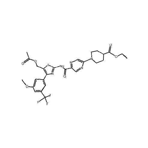 CCOC(=O)C1CCN(c2cnc(C(=O)Nc3nc(-c4cc(OC)cc(C(F)(F)F)c4)c(COC(C)=O)s3)cn2)CC1